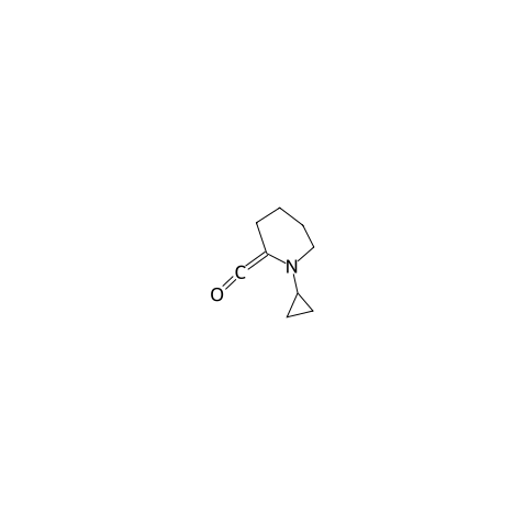 O=C=C1CCCCN1C1CC1